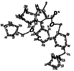 CC1=C(C(=O)OCc2ccc(Cn3cccn3)cc2)C(c2ccccc2OCc2ccccc2)n2nnnc2N1